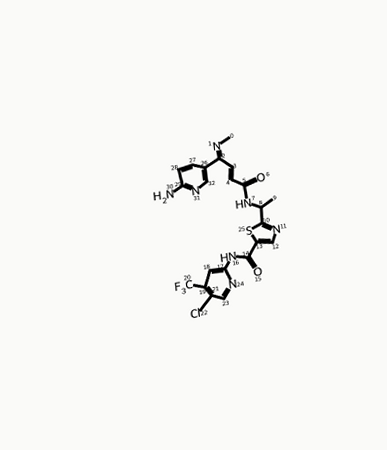 C/N=C(\C=C\C(=O)NC(C)c1ncc(C(=O)Nc2cc(C(F)(F)F)c(Cl)cn2)s1)c1ccc(N)nc1